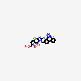 CCCCc1nc(Cl)c(C(=O)c2cccc(CO)[n+]2[O-])n1Cc1ccc(-c2ccccc2)c(-c2nnn[nH]2)c1